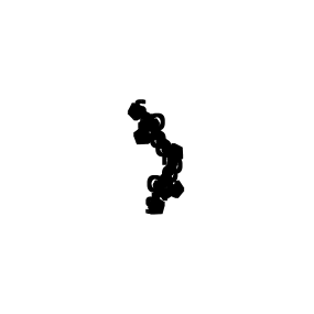 O=C(OCOCOc1cccc(OCOCOC(=O)N(Cc2cccs2)Cc2cccs2)n1)N(Cc1cccs1)Cc1cccs1